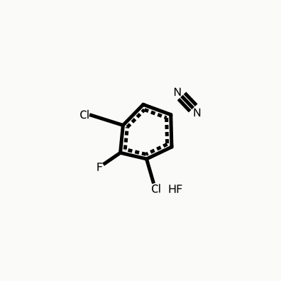 F.Fc1c(Cl)cccc1Cl.N#N